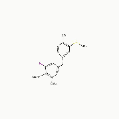 CCCCSc1cc(Cc2cc(I)c(OC)c(OC)c2)ccc1C#N